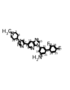 CN1CCC(n2cc(-c3cnc4c(c3)ncn4-c3cc(N)cc(-c4ccc(F)cc4F)c3)nn2)CC1